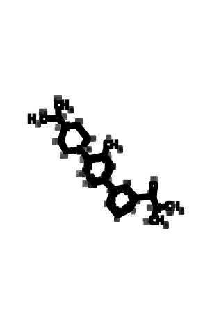 Cc1cc(-c2cccc(C(=O)N(C)C)c2)nnc1N1CCN(C(C)C)CC1